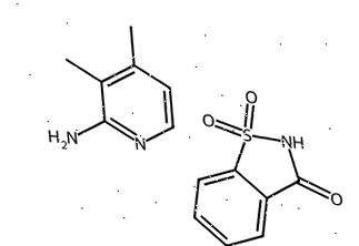 Cc1ccnc(N)c1C.O=C1NS(=O)(=O)c2ccccc21